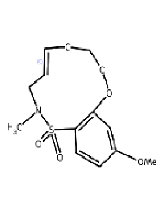 COc1ccc2c(c1)OCCC/C=C/CN(C)S2(=O)=O